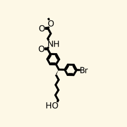 COC(=O)CCNC(=O)c1ccc([C@@H](CCCCCCO)c2ccc(Br)cc2)cc1